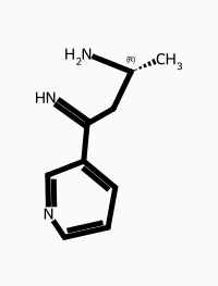 C[C@@H](N)CC(=N)c1cccnc1